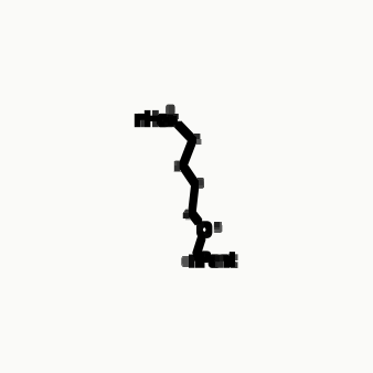 [CH2]CCCCCCCCCOCCCCC